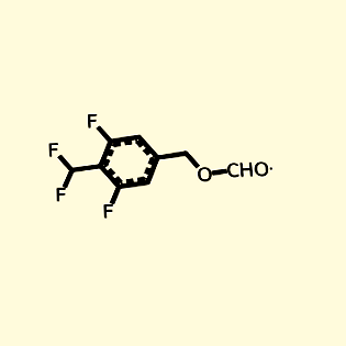 O=[C]OCc1cc(F)c(C(F)F)c(F)c1